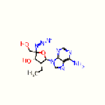 CC[C@@H]1[C@H](n2cnc3c(N)ncnc32)O[C@@](CO)(N=[N+]=[N-])[C@H]1O